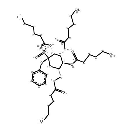 CCCCCC(=O)OC[C@@H]1O[C@](Oc2ccccc2)(S(=O)(=O)O)[C@H](OC(=O)CCCCC)[C@H](OC(=O)CCCCC)[C@H]1OC(=O)CCCCC